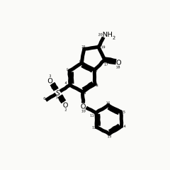 CS(=O)(=O)c1cc2c(cc1Oc1ccccc1)C(=O)C(N)C2